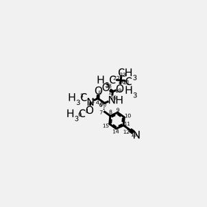 CON(C)C(=O)[C@@H](Cc1ccc(C#N)cc1)NC(=O)OC(C)(C)C